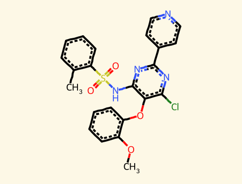 COc1ccccc1Oc1c(Cl)nc(-c2ccncc2)nc1NS(=O)(=O)c1ccccc1C